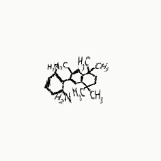 Cc1cc2c(cc1-c1c(N)cccc1N)C(C)(C)CCC2(C)C